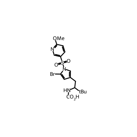 COc1ccc(S(=O)(=O)n2cc(CC(NC(=O)O)C(C)(C)C)cc2Br)cn1